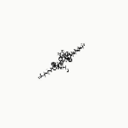 CCCCCCCCOC(=O)C(N)CSSC[C@@H](C(=O)OCCCCCCCC)N(C(C)=O)C(C)=O